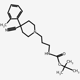 Cc1ccccc1C1(C#N)CCN(CCCNC(=O)OC(C)(C)C)CC1